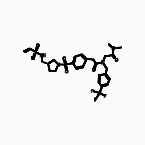 C=CS(=O)(=O)NC[C@H]1CCN(S(=O)(=O)c2ccc(CC(=O)N(CC(=O)N(C)C)Cc3ccc(C(F)(F)F)cc3)cc2)C1